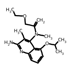 C=C(COCC)N(C)c1c(C)c(N)nc2cccc(OC(C)C)c12